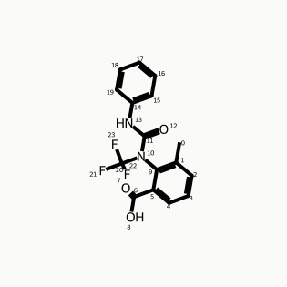 Cc1cccc(C(=O)O)c1N(C(=O)Nc1ccccc1)C(F)(F)F